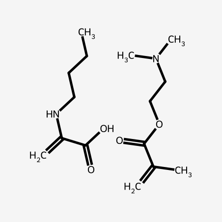 C=C(C)C(=O)OCCN(C)C.C=C(NCCCC)C(=O)O